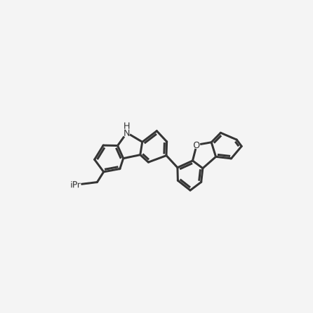 CC(C)Cc1ccc2[nH]c3ccc(-c4cccc5c4oc4ccccc45)cc3c2c1